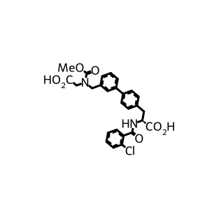 COC(=O)N(CC(=O)O)Cc1cccc(-c2ccc(C[C@H](NC(=O)c3ccccc3Cl)C(=O)O)cc2)c1